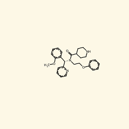 COc1ccccc1[C@@H](c1ccccn1)N(CCOc1ccccc1)C(=O)C1CCNCC1